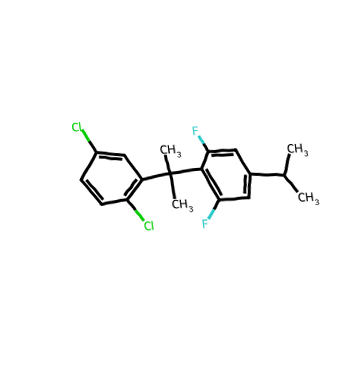 CC(C)c1cc(F)c(C(C)(C)c2cc(Cl)ccc2Cl)c(F)c1